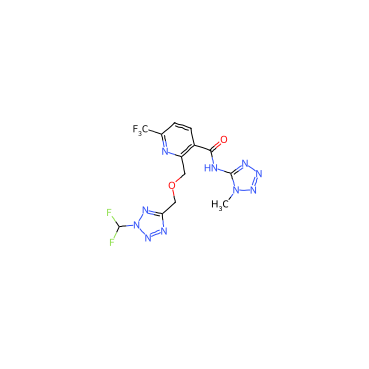 Cn1nnnc1NC(=O)c1ccc(C(F)(F)F)nc1COCc1nnn(C(F)F)n1